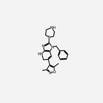 Cc1noc(C)c1C1=Cc2c(nc(N3CCNCC3)n2Cc2ccccc2)NC1